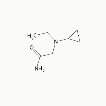 CCN(CC(N)=O)C1CC1